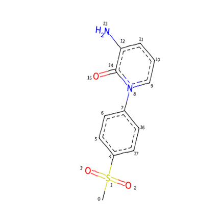 CS(=O)(=O)c1ccc(-n2cccc(N)c2=O)cc1